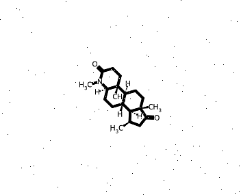 C[C@@H]1CC(=O)[C@@]2(C)CC[C@H]3[C@@H](CC[C@H]4N(C)C(=O)CC[C@]34C)[C@H]12